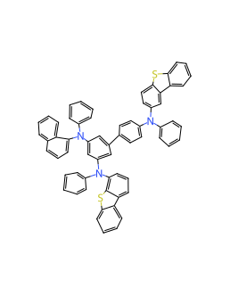 c1ccc(N(c2ccc(-c3cc(N(c4ccccc4)c4cccc5ccccc45)cc(N(c4ccccc4)c4cccc5c4sc4ccccc45)c3)cc2)c2ccc3sc4ccccc4c3c2)cc1